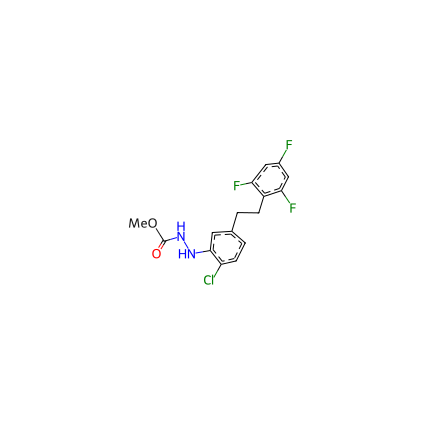 COC(=O)NNc1cc(CCc2c(F)cc(F)cc2F)ccc1Cl